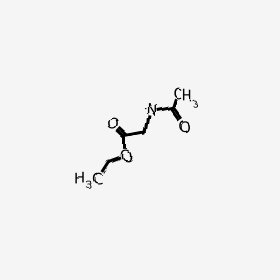 CCOC(=O)C[N]C(C)=O